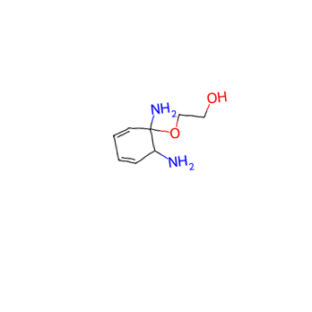 NC1C=CC=CC1(N)OCCO